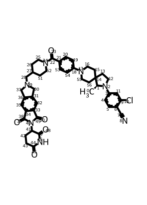 C[C@@H]1N(c2ccc(C#N)c(Cl)c2)CCC12CCN(c1ccc(C(=O)N3CCC(CN4Cc5cc6c(cc5C4)C(=O)N(C4CCC(=O)NC4=O)C6=O)CC3)cc1)CC2